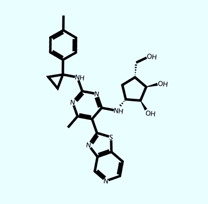 Cc1ccc(C2(Nc3nc(C)c(-c4nc5cnccc5s4)c(N[C@@H]4C[C@H](CO)[C@@H](O)[C@H]4O)n3)CC2)cc1